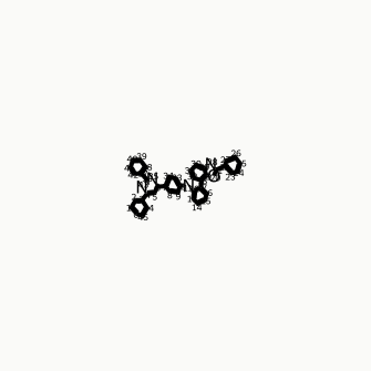 c1ccc(-c2cc(-c3ccc(-n4c5ccccc5c5c6oc(-c7ccccc7)nc6ccc54)cc3)nc(-c3ccccc3)n2)cc1